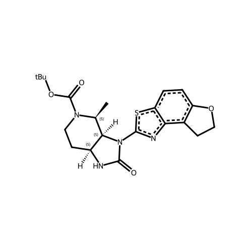 C[C@H]1[C@@H]2[C@H](CCN1C(=O)OC(C)(C)C)NC(=O)N2c1nc2c3c(ccc2s1)OCC3